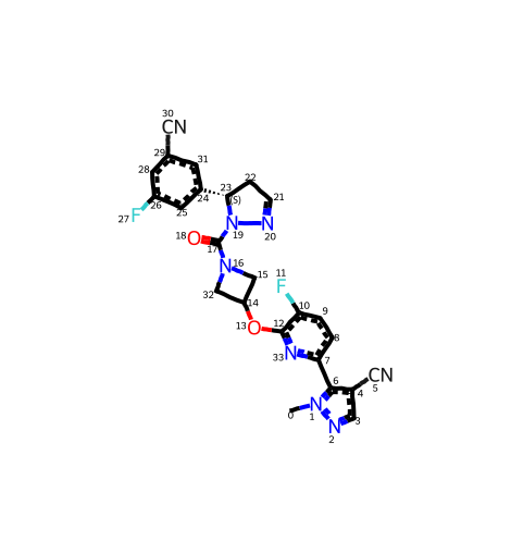 Cn1ncc(C#N)c1-c1ccc(F)c(OC2CN(C(=O)N3N=CC[C@H]3c3cc(F)cc(C#N)c3)C2)n1